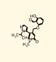 CC(C)n1nccc1-c1cn(C)c(=O)cc1COc1cccc(O)c1C=O